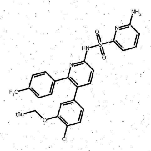 CC(C)(C)COc1cc(-c2ccc(NS(=O)(=O)c3cccc(N)n3)nc2-c2ccc(C(F)(F)F)cc2)ccc1Cl